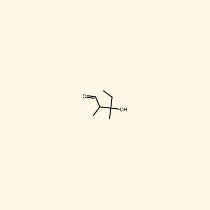 CCC(C)(O)C(C)C=O